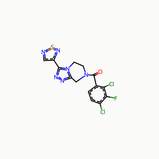 O=C(c1ccc(Cl)c(F)c1Cl)N1CCn2c(nnc2-c2cnsn2)C1